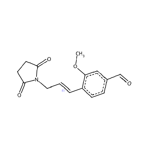 COc1cc(C=O)ccc1/C=C/CN1C(=O)CCC1=O